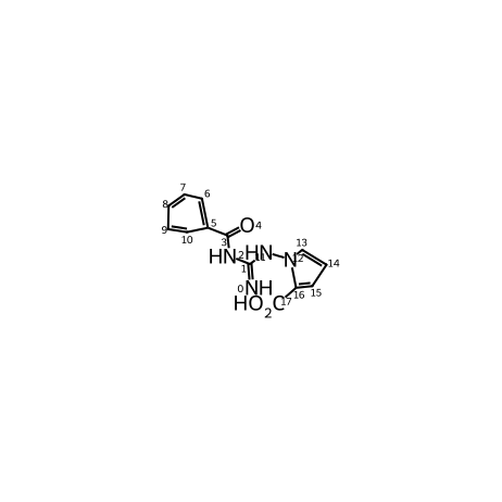 N=C(NC(=O)c1ccccc1)Nn1cccc1C(=O)O